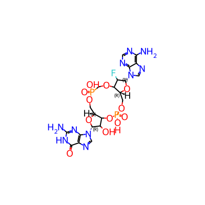 Nc1nc2c(ncn2[C@@H]2O[C@@H]3COP(=O)(O)COC4C(F)[C@H](n5cnc6c(N)ncnc65)O[C@@H]4COP(=O)(O)OC3C2O)c(=O)[nH]1